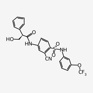 N#Cc1cc(NC(=O)[C@@H](CO)c2ccccc2)ccc1S(=O)(=O)Nc1cccc(OC(F)(F)F)c1